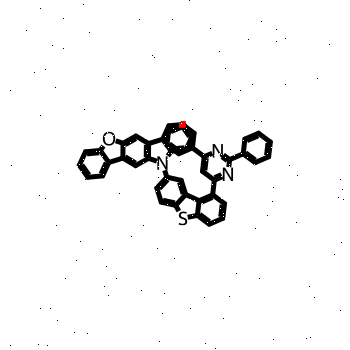 c1ccc(-c2cc(-c3cccc4sc5ccc(-n6c7ccccc7c7cc8oc9ccccc9c8cc76)cc5c34)nc(-c3ccccc3)n2)cc1